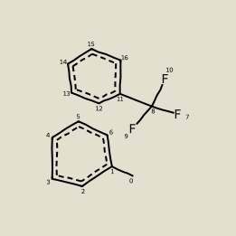 Cc1ccccc1.FC(F)(F)c1ccccc1